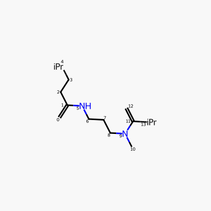 C=C(CCC(C)C)NCCCN(C)C(=C)C(C)C